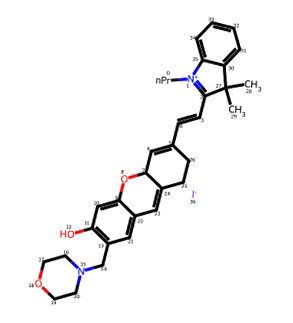 CCC[N+]1=C(/C=C/C2=CC3Oc4cc(O)c(CN5CCOCC5)cc4C=C3CC2)C(C)(C)c2ccccc21.[I-]